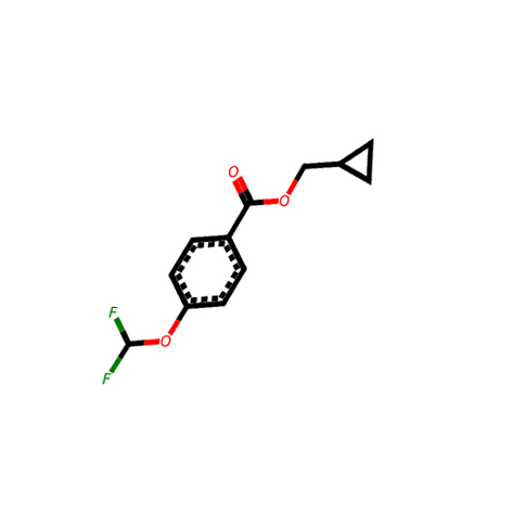 O=C(OCC1CC1)c1ccc(OC(F)F)cc1